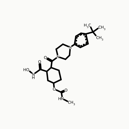 CNC(=O)OC1CCC(C(=O)N2CCN(c3ccc(C(C)(C)C)cc3)CC2)C(C(=O)NO)C1